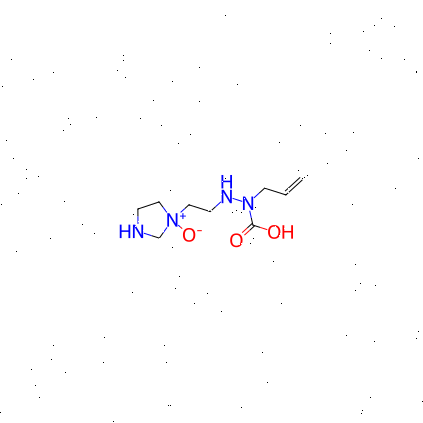 C=CCN(NCC[N+]1([O-])CCNC1)C(=O)O